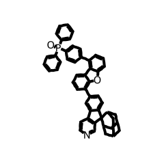 O=P(c1ccccc1)(c1ccccc1)c1ccc(-c2cccc3oc4c(-c5ccc6c(c5)-c5ccncc5C65C6CC7CC(C6)CC5C7)cccc4c23)cc1